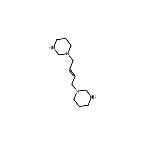 C(=C\CN1CCCNC1)/CN1CCCNC1